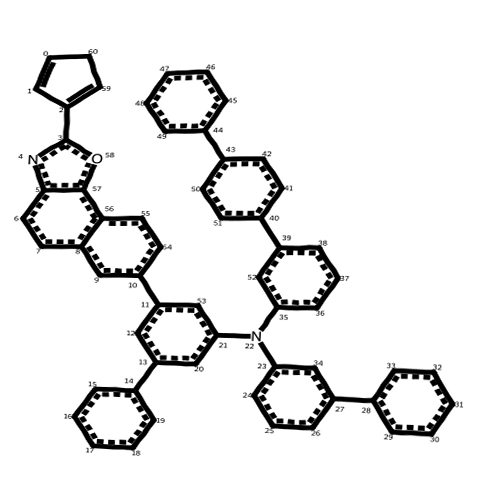 C1=CC(c2nc3ccc4cc(-c5cc(-c6ccccc6)cc(N(c6cccc(-c7ccccc7)c6)c6cccc(-c7ccc(-c8ccccc8)cc7)c6)c5)ccc4c3o2)=CC1